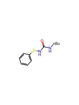 CCCCNC(=O)NSc1ccccc1